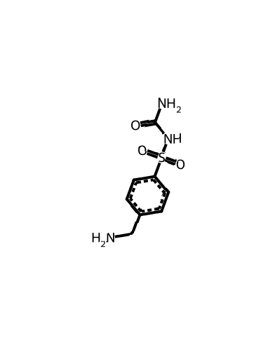 NCc1ccc(S(=O)(=O)NC(N)=O)cc1